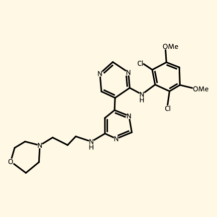 COc1cc(OC)c(Cl)c(Nc2ncncc2-c2cc(NCCCN3CCOCC3)ncn2)c1Cl